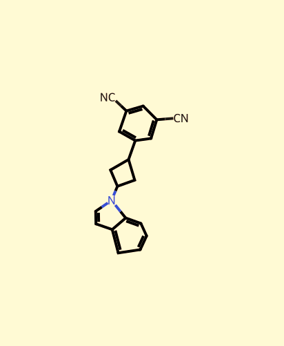 N#Cc1cc(C#N)cc(C2CC(n3ccc4ccccc43)C2)c1